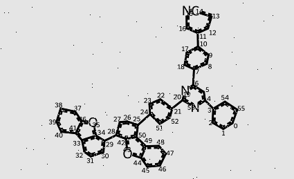 c1ccc(-c2cc(-c3ccc(-c4cccnc4)cc3)nc(-c3ccc(-c4ccc(-c5cccc6c5oc5ccccc56)c5oc6ccccc6c45)cc3)n2)cc1